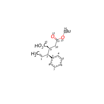 C=C[C@H](c1ccccc1)[C@H](CC(=O)OC(C)(C)C)C(=O)O